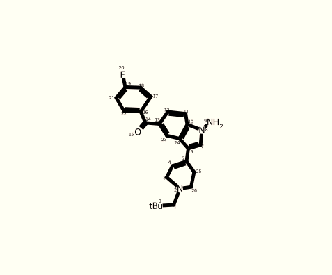 CC(C)(C)CN1CC=C(c2cn(N)c3ccc(C(=O)c4ccc(F)cc4)cc23)CC1